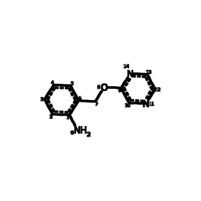 Nc1ccccc1COc1cnccn1